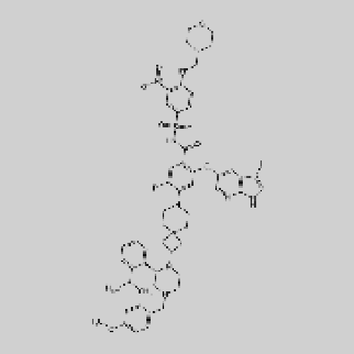 COc1ccc(CN2CCN(C3CC4(CCN(c5cc(Oc6cnc7[nH]cc(F)c7c6)c(C(=O)NS(=O)(=O)c6ccc(NCC7CCOCC7)c([N+](=O)[O-])c6)cc5F)CC4)C3)[C@H](c3ccccc3C(C)C)C2)cc1